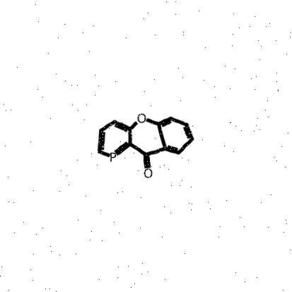 O=c1c2ccccc2oc2cccpc12